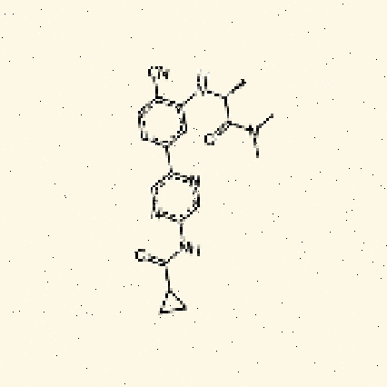 C[C@H](Nc1cc(-c2cnc(NC(=O)C3CC3)cn2)ccc1C#N)C(=O)N(C)C